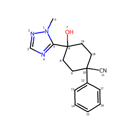 Cn1ncnc1C1(O)CCC(C#N)(c2ccccc2)CC1